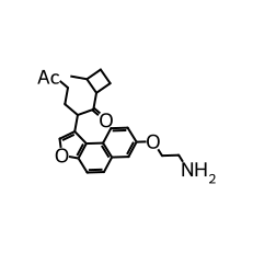 CC(=O)CCC(C(=O)C1CCC1C)c1coc2ccc3cc(OCCN)ccc3c12